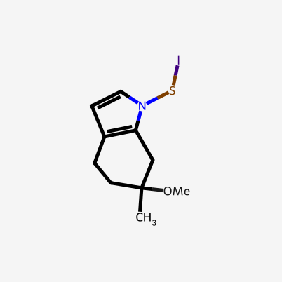 COC1(C)CCc2ccn(SI)c2C1